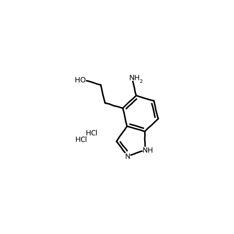 Cl.Cl.Nc1ccc2[nH]ncc2c1CCO